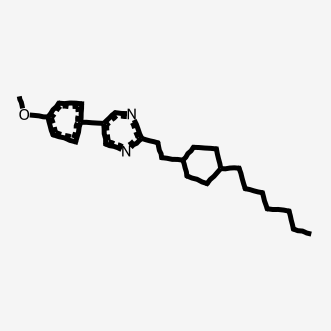 CCCCCCCC1CCC(CCc2ncc(-c3ccc(OC)cc3)cn2)CC1